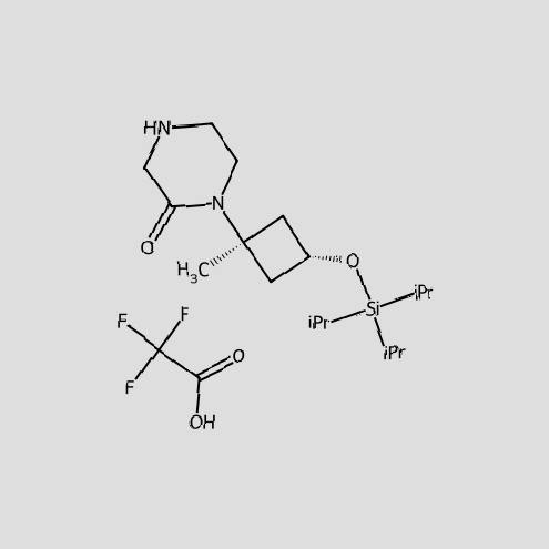 CC(C)[Si](O[C@H]1C[C@](C)(N2CCNCC2=O)C1)(C(C)C)C(C)C.O=C(O)C(F)(F)F